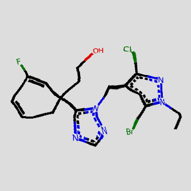 CCn1nc(Cl)c(Cn2ncnc2C2(CCO)C=C(F)C=CC2)c1Br